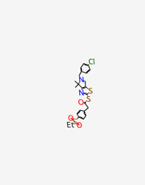 CCS(=O)(=O)c1ccc(CC(=O)Sc2nc3c(s2)CN(Cc2ccc(Cl)cc2)C3(C)C)cc1